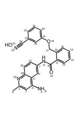 Cc1cc(N)c2cc(NC(=O)c3ccccc3COc3cccc(C#N)c3)ccc2n1.Cl